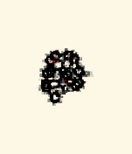 C=C(/C(=C(\CC1(O)C(C(=O)Nc2c(C(C)C)cccc2C(C)C)=C(n2c3ccccc3c3ccccc32)C(n2c3ccccc3c3ccccc32)=C1n1c2ccccc2c2ccccc21)n1c2ccccc2c2ccccc21)n1c2ccccc2c2ccccc21)n1c2ccccc2c2ccccc21